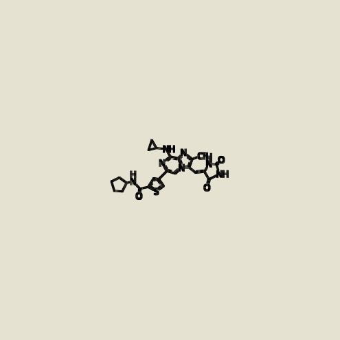 O=C1NC(=O)/C(=C/c2c(C(F)(F)F)nc3c(NC4CC4)nc(-c4csc(C(=O)NC5CCCC5)c4)cn23)N1